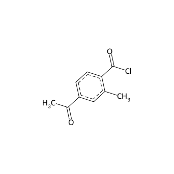 CC(=O)c1ccc(C(=O)Cl)c(C)c1